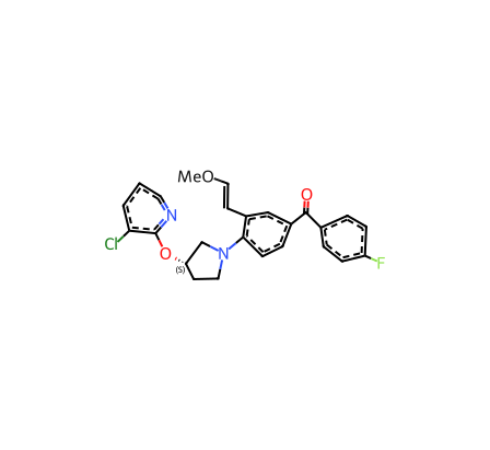 COC=Cc1cc(C(=O)c2ccc(F)cc2)ccc1N1CC[C@H](Oc2ncccc2Cl)C1